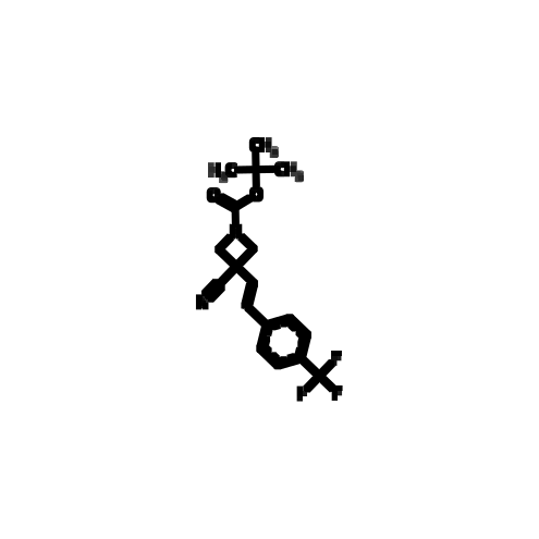 CC(C)(C)OC(=O)N1CC(C#N)(/C=C/c2ccc(C(F)(F)F)cc2)C1